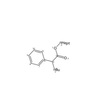 CCCCCCCOC(=O)C(CCCC)c1ccccc1